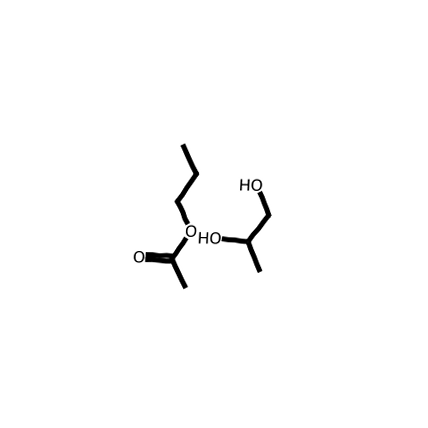 CC(O)CO.CCCOC(C)=O